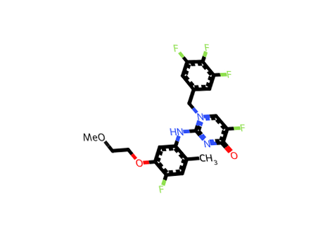 COCCOc1cc(Nc2nc(=O)c(F)cn2Cc2cc(F)c(F)c(F)c2)c(C)cc1F